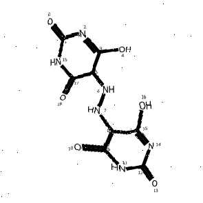 O=C1N=C(O)C(NNC2C(=O)NC(=O)N=C2O)C(=O)N1